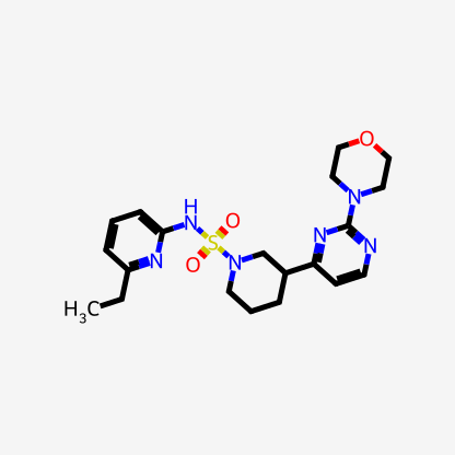 CCc1cccc(NS(=O)(=O)N2CCCC(c3ccnc(N4CCOCC4)n3)C2)n1